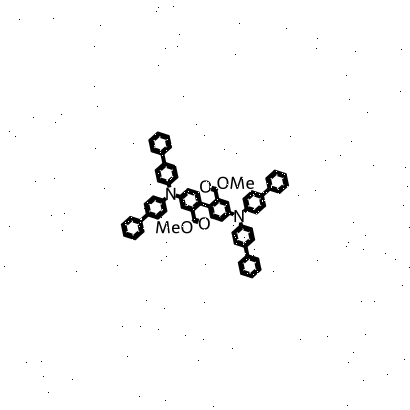 COC(=O)c1cc(N(c2ccc(-c3ccccc3)cc2)c2ccc(-c3ccccc3)cc2)ccc1-c1ccc(N(c2ccc(-c3ccccc3)cc2)c2ccc(-c3ccccc3)cc2)cc1C(=O)OC